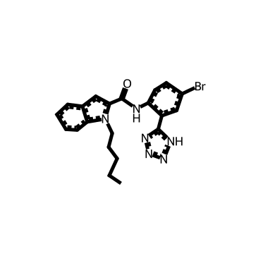 CCCCCn1c(C(=O)Nc2ccc(Br)cc2-c2nnn[nH]2)cc2ccccc21